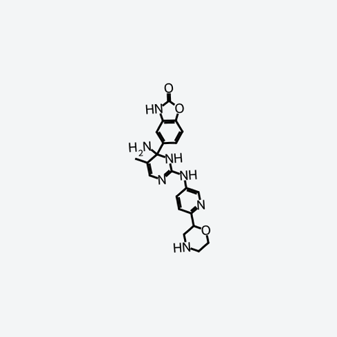 CC1=CN=C(Nc2ccc(C3CNCCO3)nc2)NC1(N)c1ccc2oc(=O)[nH]c2c1